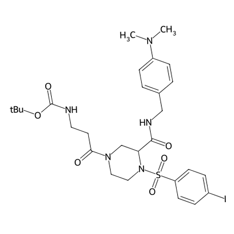 CN(C)c1ccc(CNC(=O)C2CN(C(=O)CCNC(=O)OC(C)(C)C)CCN2S(=O)(=O)c2ccc(I)cc2)cc1